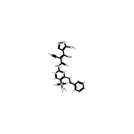 Cc1oncc1/C(O)=C(\C#N)C(=O)Nc1ncc(S(C)(=O)=O)c(CCc2ccccc2)n1